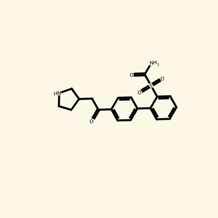 NC(=O)S(=O)(=O)c1ccccc1-c1ccc(C(=O)[CH]C2CCNC2)cc1